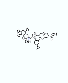 CCCCc1ncc(/C=C(\Cc2cc3c(cc2OC)OCO3)C(=O)O)n1-c1ccc(OC)cc1OCc1cccc(C(=O)O)c1